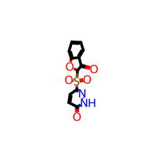 O=C1c2ccccc2OC1S(=O)(=O)c1ccc(=O)[nH]n1